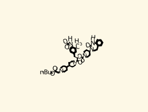 CCCCOC(=O)CN1CCC(C2CCN(C(=O)[C@@H](Cc3cc(C)c4[nH]c(=O)oc4c3)OC(=O)N3CCC(N4CCc5ccccc5NC4=O)CC3)CC2)CC1